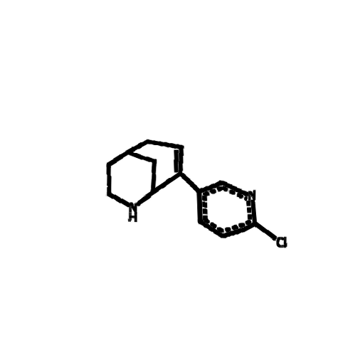 Clc1ccc(C2=CCC3CCNC2C3)cn1